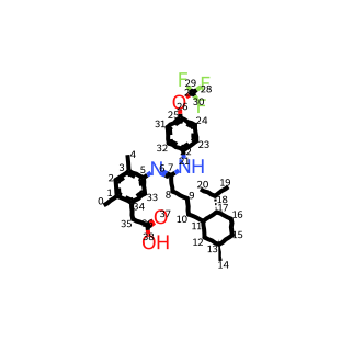 Cc1cc(C)c(/N=C(\CCCC2C[C@H](C)CC[C@H]2C(C)C)Nc2ccc(OC(F)(F)F)cc2)cc1CC(=O)O